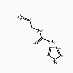 C=CCNC(N)=O.c1c[nH]cn1